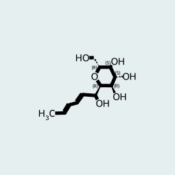 CC=CC=CC(O)[C@H]1O[C@H](CO)[C@@H](O)[C@H](O)[C@H]1O